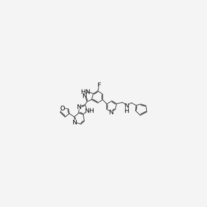 Fc1cc(-c2cncc(CNCc3ccccc3)c2)cc2c(-c3nc4c(-c5ccoc5)nccc4[nH]3)n[nH]c12